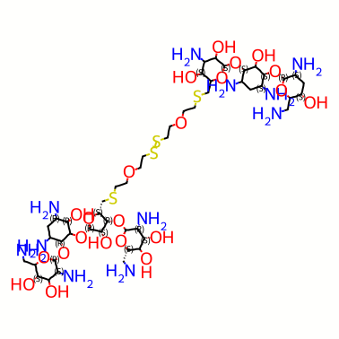 NCC1O[C@H](O[C@@H]2C(N)C[C@@H](N)[C@@H](O)C2O[C@@H]2O[C@H](CSCCOCCSSCCOCCSCC3O[C@H](O[C@H]4C(N)C[C@H](N)[C@H](O[C@H]5OC(CN)[C@@H](O)C[C@@H]5N)C4O)C(O)C(N)[C@@H]3O)[C@H](OC3O[C@@H](CN)C(O)[C@@H](O)[C@H]3N)[C@@H]2O)[C@@H](N)C(O)[C@@H]1O